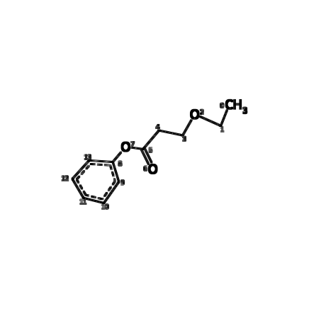 CCOCCC(=O)Oc1ccccc1